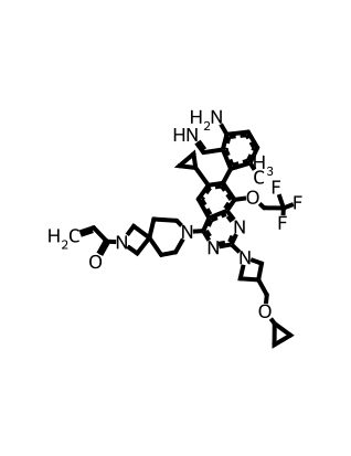 C=CC(=O)N1CC2(CCN(c3nc(N4CC(COC5CC5)C4)nc4c(OCC(F)(F)F)c(-c5c(C)ccc(N)c5C=N)c(C5CC5)cc34)CC2)C1